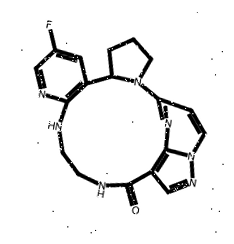 O=C1NCCNc2ncc(F)cc2C2CCCN2c2ccn3ncc1c3n2